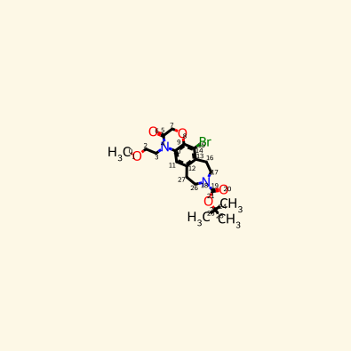 COCCN1C(=O)COc2c1cc1c(c2Br)CCN(C(=O)OC(C)(C)C)CC1